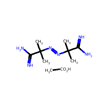 CC(=O)O.CC(C)(N=NC(C)(C)C(=N)N)C(=N)N